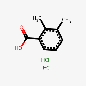 Cc1cccc(C(=O)O)c1C.Cl.Cl